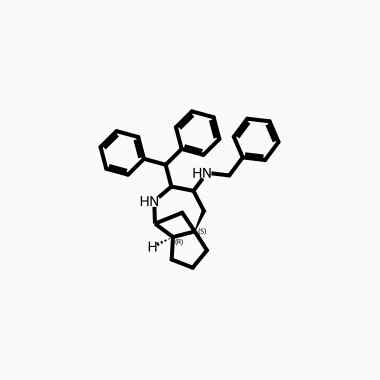 c1ccc(CNC2C[C@@]34CCC[C@H]3C(C4)NC2C(c2ccccc2)c2ccccc2)cc1